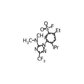 CCc1cc(C(C)C)c(-n2nc(C(F)(F)F)nc2N(C)C)cc1S(=O)(=O)F